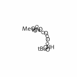 COC(=O)c1ccccc1NC(=O)Cc1ccc(Oc2ccc(OCc3ccc(NC(=O)OC(C)(C)C)cc3)cc2)cc1